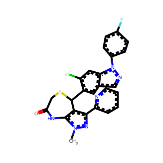 Cn1nc(-c2ccccn2)c2c1NC(=O)CSC2c1cc2cnn(-c3ccc(F)cc3)c2cc1Cl